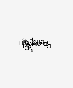 O=C(NC[C@@H](O)CN1CCC(Oc2ccc(Cl)c(Cl)c2)CC1)c1ccc(=O)[nH]c1C(F)(F)C(F)(F)F